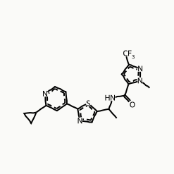 CC(NC(=O)c1cc(C(F)(F)F)nn1C)c1cnc(-c2ccnc(C3CC3)c2)s1